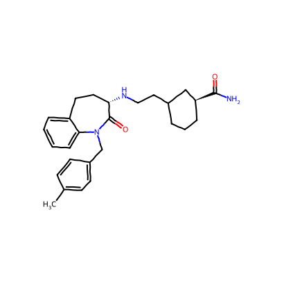 Cc1ccc(CN2C(=O)[C@@H](NCCC3CCC[C@H](C(N)=O)C3)CCc3ccccc32)cc1